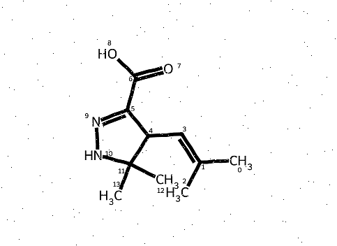 CC(C)=CC1C(C(=O)O)=NNC1(C)C